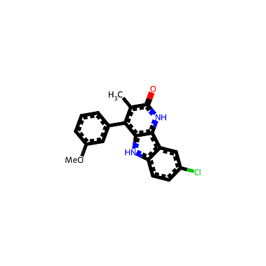 COc1cccc(-c2c(C)c(=O)[nH]c3c2[nH]c2ccc(Cl)cc23)c1